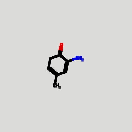 CC1=CCC(=O)C(N)=C1